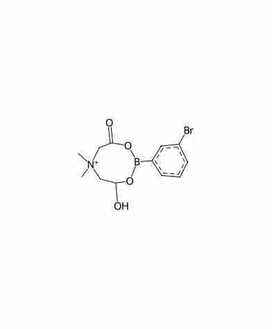 C[N+]1(C)CC(=O)OB(c2cccc(Br)c2)OC(O)C1